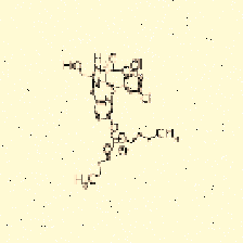 CCCCOP(=O)(COc1ccc(Cn2c(CO)nc(C(C)C)c2Sc2cc(Cl)cc(Cl)c2)nc1)OCCCC